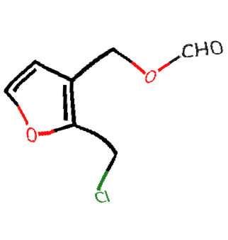 O=COCc1ccoc1CCl